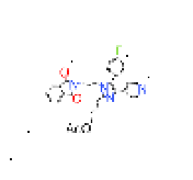 CC(=O)OCCCCc1nc(-c2ccncc2)c(-c2ccc(F)cc2)n1CCCN1C(=O)c2ccccc2C1=O